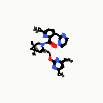 Cc1cc(C)nc(OC[C@@H]2C[C@H]3C[C@H]3CN2C(=O)c2nc(C)ccc2-c2ncccn2)n1